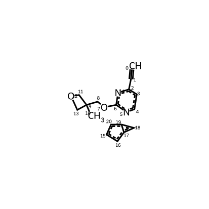 C#Cc1ccnc(OCC2(C)COC2)n1.c1cc2cc-2c1